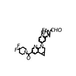 CCN(C=O)/N=c1/cc(N2CC3CC3c3cc(C(=O)N4CCC(F)(F)CC4)cnc32)ccn1C